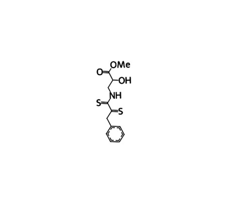 COC(=O)C(O)CNC(=S)C(=S)Cc1ccccc1